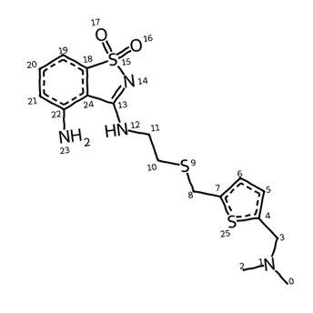 CN(C)Cc1ccc(CSCCNC2=NS(=O)(=O)c3cccc(N)c32)s1